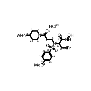 CNC1CCN(C(=O)CCN(C(CC(C)C)C(=O)NO)S(=O)(=O)c2ccc(OC)cc2)CC1.Cl